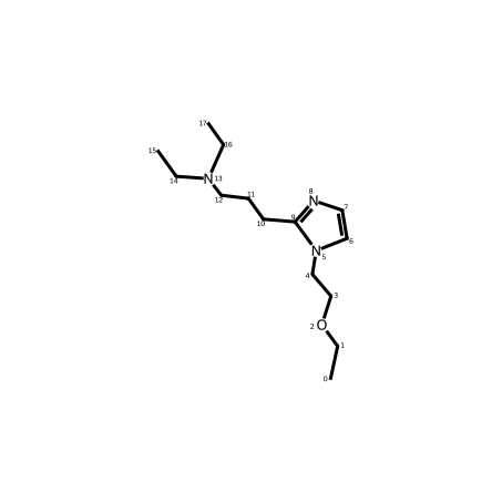 CCOCCn1ccnc1CCCN(CC)CC